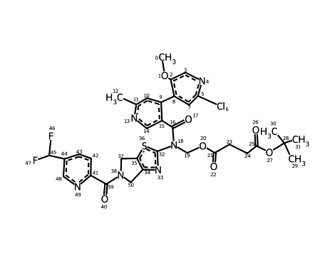 COc1cnc(Cl)cc1-c1cc(C)ncc1C(=O)N(COC(=O)CCC(=O)OC(C)(C)C)c1nc2c(s1)CN(C(=O)c1ccc(C(F)F)cn1)C2